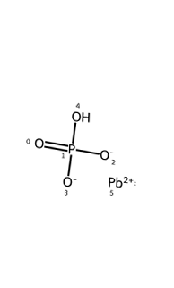 O=P([O-])([O-])O.[Pb+2]